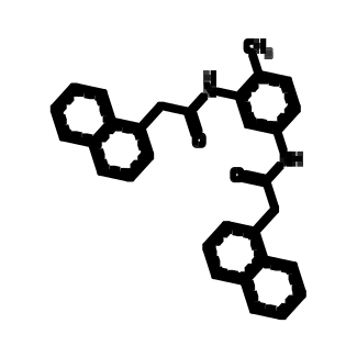 Cc1ccc(NC(=O)Cc2cccc3ccccc23)cc1NC(=O)Cc1cccc2ccccc12